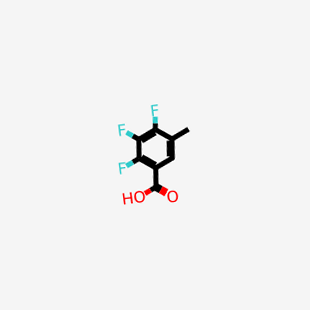 Cc1cc(C(=O)O)c(F)c(F)c1F